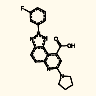 O=C(O)c1cc(N2CCCC2)nc2ccc3nn(-c4cccc(F)c4)nc3c12